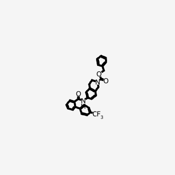 O=C(Nc1ccc2c(c1)CCN(C(=O)OCc1ccccc1)C2)c1ccccc1-c1ccc(C(F)(F)F)cc1